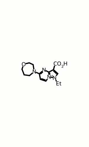 CCn1cc(C(=O)O)c2nc(N3CCCOCC3)cc[n+]21